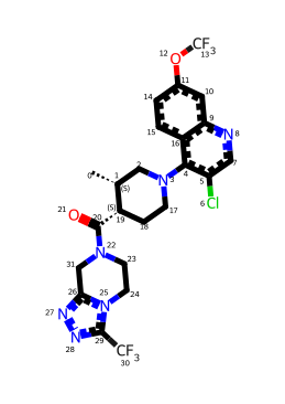 C[C@@H]1CN(c2c(Cl)cnc3cc(OC(F)(F)F)ccc23)CC[C@@H]1C(=O)N1CCn2c(nnc2C(F)(F)F)C1